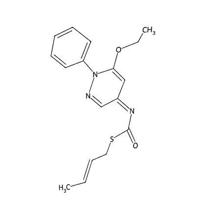 CC=CCSC(=O)N=c1cnn(-c2ccccc2)c(OCC)c1